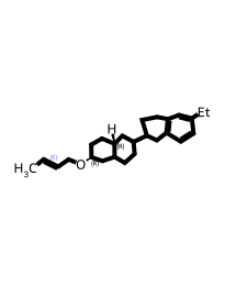 C/C=C/CO[C@@H]1CC[C@@H]2CC(C3CCc4cc(CC)ccc4C3)CCC2C1